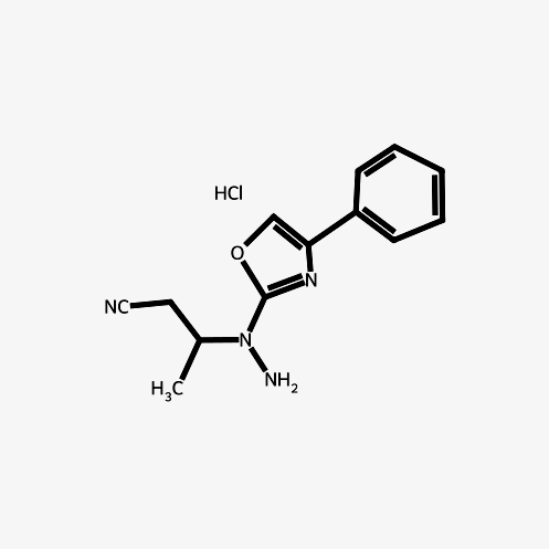 CC(CC#N)N(N)c1nc(-c2ccccc2)co1.Cl